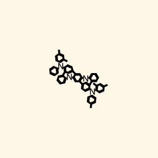 Cc1ccc(N(c2ccc(C)cc2C)c2ccc3c4cc5c(cc4n4c6ccccc6c2c34)c2ccc(N(c3ccccc3)c3ccc(C)cc3C)c3c4ccccc4n5c23)cc1